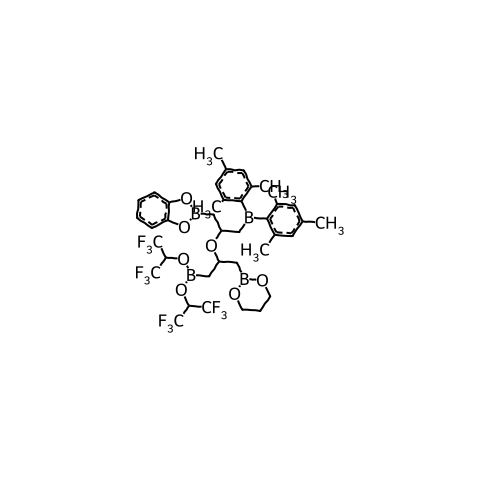 Cc1cc(C)c(B(CC(CB2Oc3ccccc3O2)OC(CB2OCCCO2)CB(OC(C(F)(F)F)C(F)(F)F)OC(C(F)(F)F)C(F)(F)F)c2c(C)cc(C)cc2C)c(C)c1